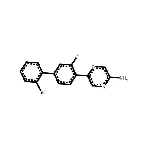 CC(C)c1ccccc1-c1ccc(-c2cnc(N)cn2)c(F)c1